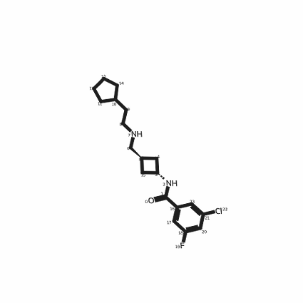 O=C(N[C@H]1C[C@H](CNCCC2CCCC2)C1)c1cc(F)cc(Cl)c1